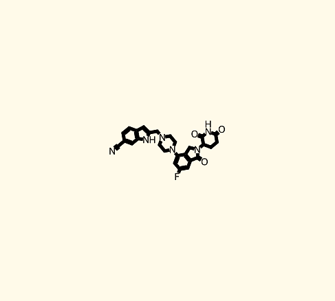 N#Cc1ccc2cc(CN3CCN(c4cc(F)cc5c4CN(C4CCC(=O)NC4=O)C5=O)CC3)[nH]c2c1